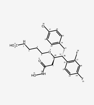 O=C(O)NCCCO[C@H](CC(=O)NO)[C@H](Cc1ccc(Cl)cc1)c1ccc(F)cc1F